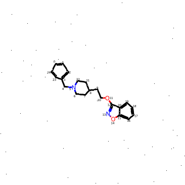 c1ccc(CN2CCC(CCOc3noc4ccccc34)CC2)cc1